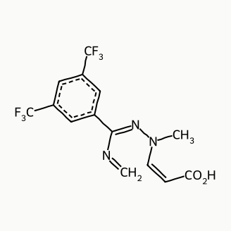 C=N/C(=N\N(C)/C=C\C(=O)O)c1cc(C(F)(F)F)cc(C(F)(F)F)c1